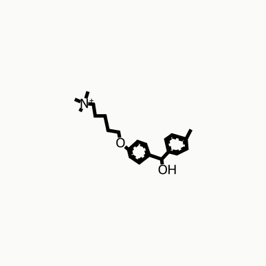 Cc1ccc(C(O)c2ccc(OCCCCC[N+](C)(C)C)cc2)cc1